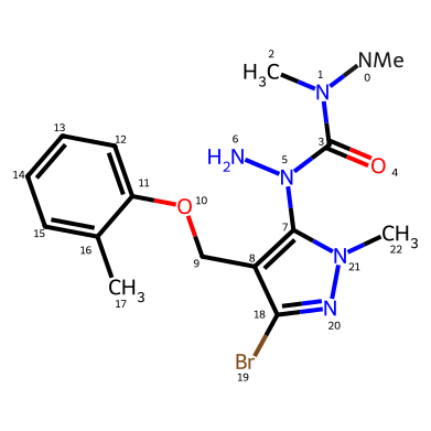 CNN(C)C(=O)N(N)c1c(COc2ccccc2C)c(Br)nn1C